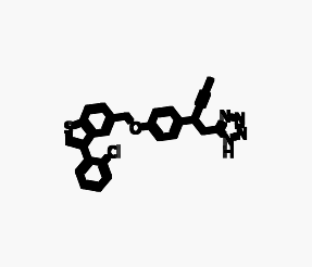 CC#CC(Cc1nnn[nH]1)c1ccc(OCc2ccc3scc(-c4ccccc4Cl)c3c2)cc1